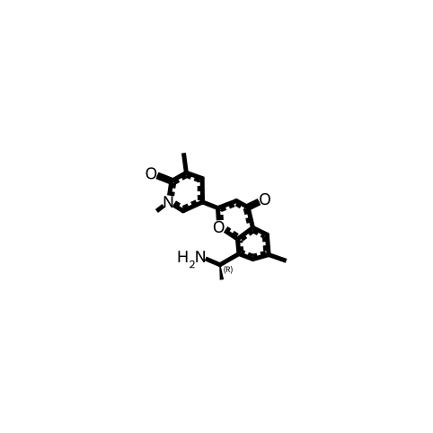 Cc1cc([C@@H](C)N)c2oc(-c3cc(C)c(=O)n(C)c3)cc(=O)c2c1